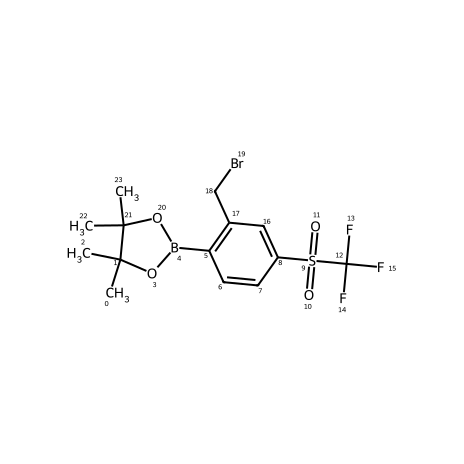 CC1(C)OB(c2ccc(S(=O)(=O)C(F)(F)F)cc2CBr)OC1(C)C